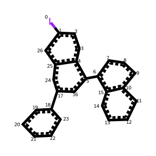 Ic1ccc2c(-c3cccc4ccccc34)cc(-c3ccccc3)cc2c1